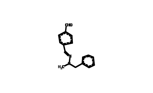 CN(Cc1ccccc1)N=Cc1ccc(C=O)cc1